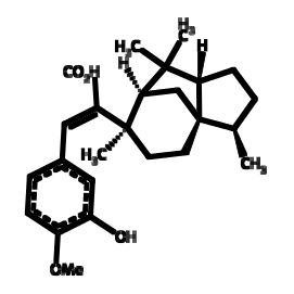 COc1ccc(/C=C(/C(=O)O)[C@]2(C)CC[C@@]34C[C@@H]2C(C)(C)[C@@H]3CC[C@H]4C)cc1O